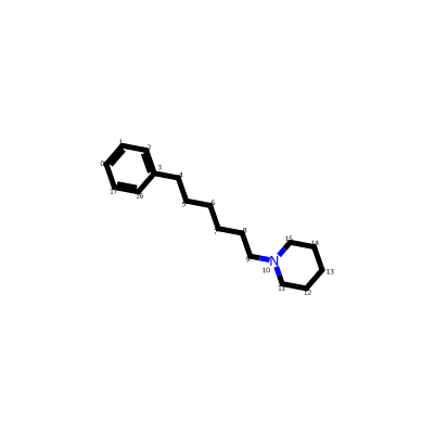 c1ccc(CCCCCCN2CCCCC2)cc1